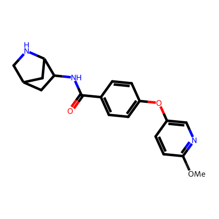 COc1ccc(Oc2ccc(C(=O)NC3CC4CNC3C4)cc2)cn1